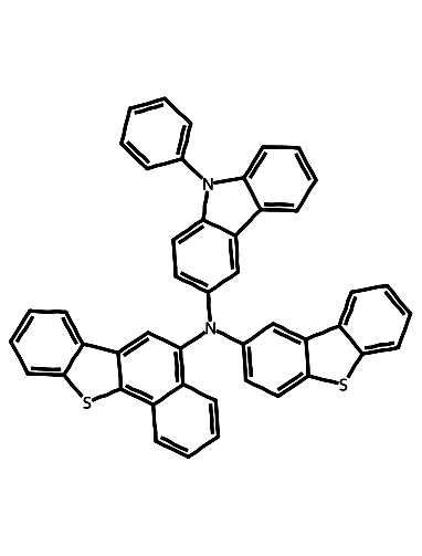 c1ccc(-n2c3ccccc3c3cc(N(c4ccc5sc6ccccc6c5c4)c4cc5c6ccccc6sc5c5ccccc45)ccc32)cc1